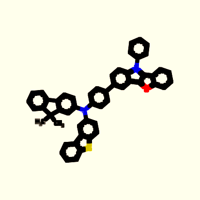 CC1(C)c2ccccc2-c2ccc(N(c3ccc(-c4ccc5c(c4)c4oc6ccccc6c4n5-c4ccccc4)cc3)c3ccc4sc5ccccc5c4c3)cc21